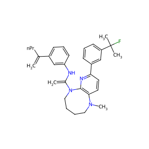 C=C(CCC)c1cccc(NC(=C)N2CCCCN(C)c3ccc(-c4cccc(C(C)(C)F)c4)nc32)c1